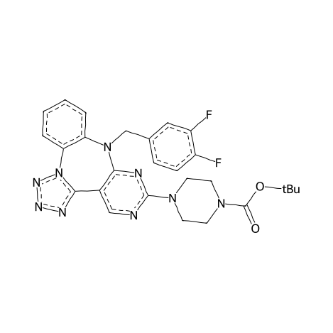 CC(C)(C)OC(=O)N1CCN(c2ncc3c(n2)N(Cc2ccc(F)c(F)c2)c2ccccc2-n2nnnc2-3)CC1